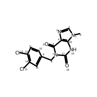 Cn1cnc2c(=O)n(Cc3ccc(Cl)c(Cl)c3)c(=O)[nH]c21